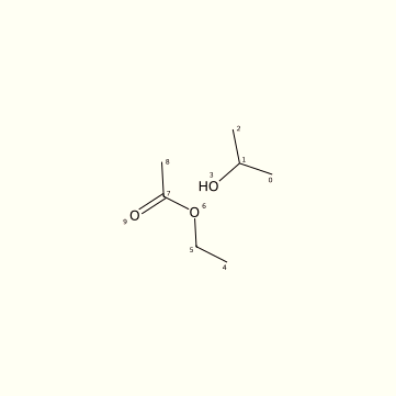 CC(C)O.CCOC(C)=O